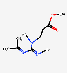 CC(C)=N/C(=N/C(C)C)N(CCC(=O)OC(C)(C)C)C(C)C